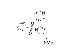 CNCc1cc(-c2cccnc2F)n(S(=O)(=O)c2ccsc2)c1